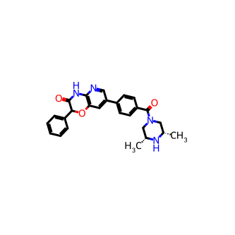 C[C@@H]1CN(C(=O)c2ccc(-c3cnc4c(c3)OC(c3ccccc3)C(=O)N4)cc2)C[C@H](C)N1